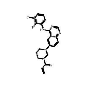 C=CC(=O)N1CCCN(c2ccc3ncnc(Nc4cccc(Cl)c4F)c3c2)C1